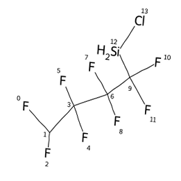 FC(F)C(F)(F)C(F)(F)C(F)(F)[SiH2]Cl